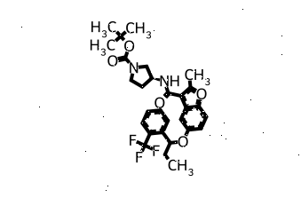 CCC(Oc1ccc2oc(C)c(C(=O)N[C@H]3CCN(C(=O)OC(C)(C)C)C3)c2c1)c1ccccc1C(F)(F)F